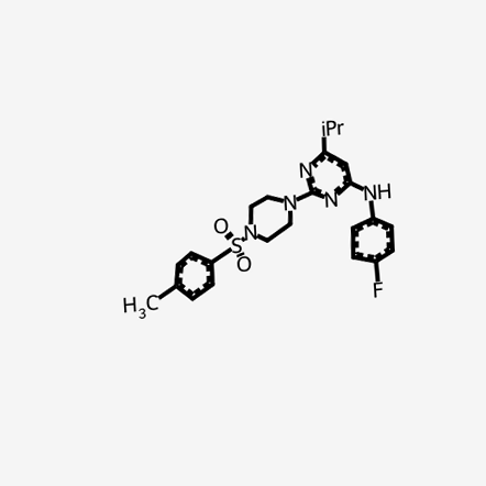 Cc1ccc(S(=O)(=O)N2CCN(c3nc(Nc4ccc(F)cc4)cc(C(C)C)n3)CC2)cc1